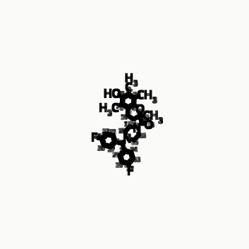 Cc1c(C)c2c(c(C)c1O)CCC(C)(C(=O)N1CCN(C(c3ccc(F)cc3)c3ccc(F)cc3)CC1)O2